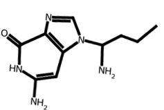 CCCC(N)n1cnc2c(=O)[nH]c(N)cc21